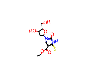 CCOC(=O)c1cn([C@H]2C[C@@H](O)[C@H](CO)O2)c(=O)[nH]c1=S